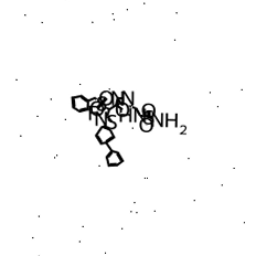 NS(=O)(=O)NCc1nnc(C(c2nc3ccc(-c4ccccc4)cc3s2)S(=O)(=O)Cc2ccccc2F)o1